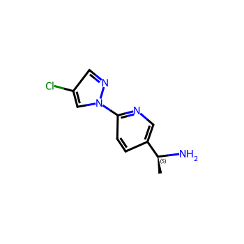 C[C@H](N)c1ccc(-n2cc(Cl)cn2)nc1